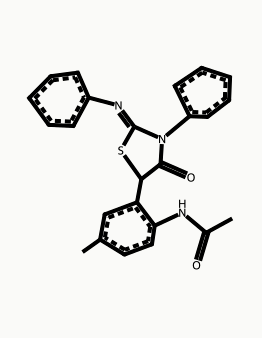 CC(=O)Nc1ccc(C)cc1C1SC(=Nc2ccccc2)N(c2ccccc2)C1=O